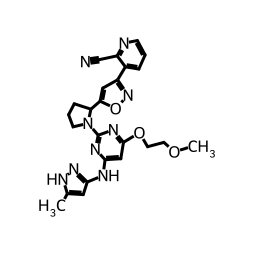 COCCOc1cc(Nc2cc(C)[nH]n2)nc(N2CCCC2c2cc(-c3cccnc3C#N)no2)n1